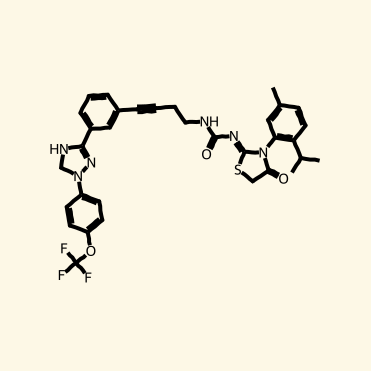 Cc1ccc(C(C)C)c(N2C(=O)CS/C2=N\C(=O)NCCC#Cc2cccc(C3=NN(c4ccc(OC(F)(F)F)cc4)CN3)c2)c1